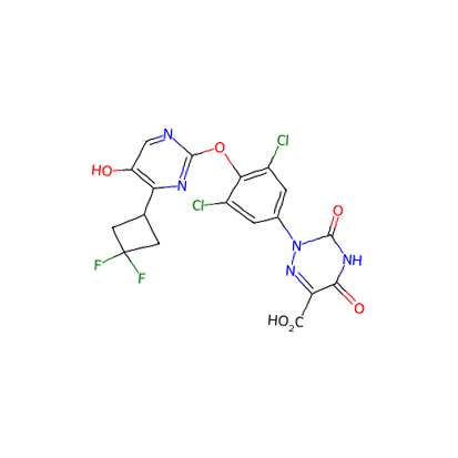 O=C(O)c1nn(-c2cc(Cl)c(Oc3ncc(O)c(C4CC(F)(F)C4)n3)c(Cl)c2)c(=O)[nH]c1=O